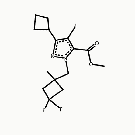 COC(=O)c1c(I)c(C2CCC2)nn1CC1(C)CC(F)(F)C1